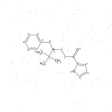 CC(C)(C)N(CCC(=O)c1ccco1)Cc1ccccc1